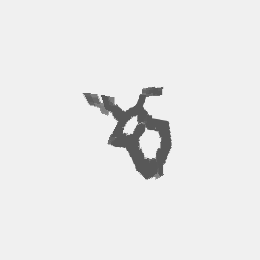 CC(C)(C)c1c(N)nc2cnccn12